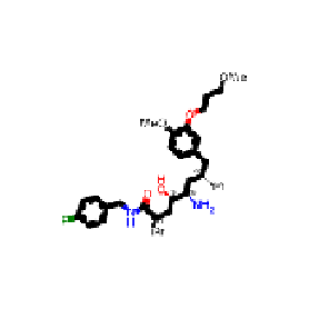 COCCCOc1cc(C[C@@H](C[C@H](N)[C@@H](O)C[C@H](C(=O)NCc2ccc(F)cc2)C(C)C)C(C)C)ccc1OC